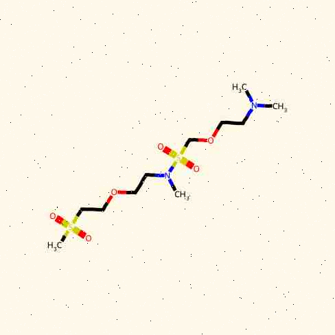 CN(C)CCOCS(=O)(=O)N(C)CCOCCS(C)(=O)=O